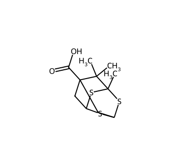 CC12SC3CC(C(=O)O)(CC(S3)S1)C2(C)C